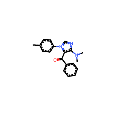 Cc1ccc(-n2cnc(N(C)C)c2C(=O)c2ccccc2)cc1